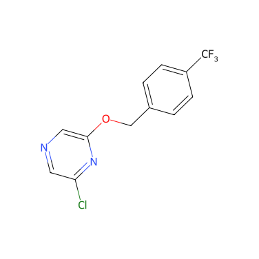 FC(F)(F)c1ccc(COc2cncc(Cl)n2)cc1